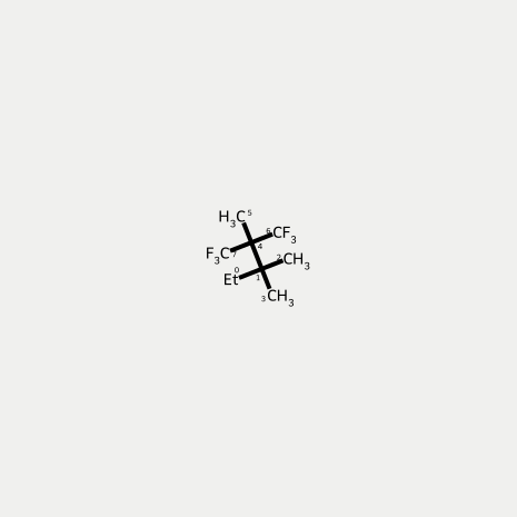 CCC(C)(C)C(C)(C(F)(F)F)C(F)(F)F